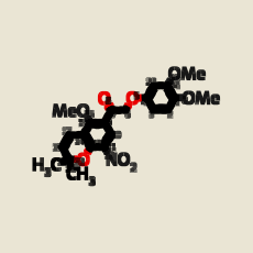 COc1ccc(OCC(=O)c2cc([N+](=O)[O-])c3c(c2OC)C=CC(C)(C)O3)cc1OC